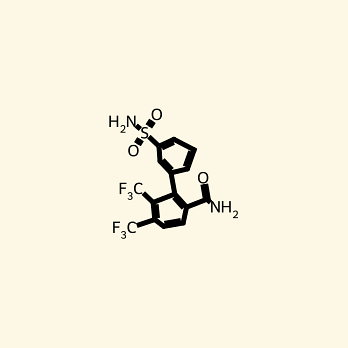 NC(=O)c1ccc(C(F)(F)F)c(C(F)(F)F)c1-c1cccc(S(N)(=O)=O)c1